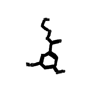 COc1cc(OC)cc(C(=O)OO[CH]C(C)(C)C)c1